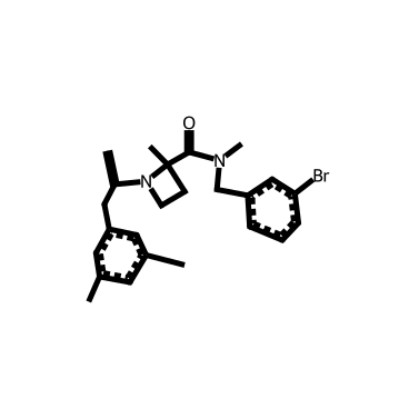 C=C(Cc1cc(C)cc(C)c1)N1CCC1(C)C(=O)N(C)Cc1cccc(Br)c1